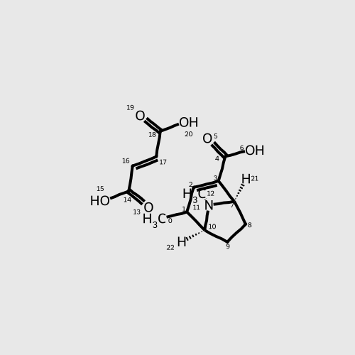 CC1C=C(C(=O)O)[C@H]2CC[C@@H]1N2C.O=C(O)/C=C/C(=O)O